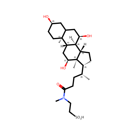 C[C@H](CCC(=O)N(C)CCS(=O)(=O)O)[C@H]1CC[C@H]2[C@@H]3[C@H](O)CC4C[C@H](O)CC[C@]4(C)[C@H]3C[C@H](O)[C@]12C